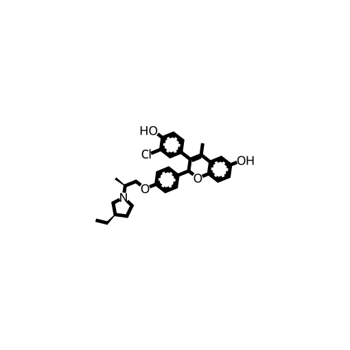 CC[C@@H]1CCN([C@@H](C)COc2ccc(C3Oc4ccc(O)cc4C(C)=C3c3ccc(O)c(Cl)c3)cc2)C1